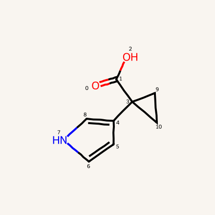 O=C(O)C1(c2cc[nH]c2)CC1